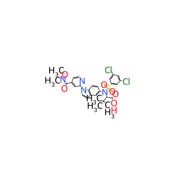 CON(C)C(=O)c1ccnc(-n2ccc3cc(N(C(C(=O)O)C(C)(C)C)S(=O)(=O)c4cc(Cl)cc(Cl)c4)ccc32)c1